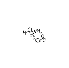 COC(=O)c1cccc(OCC(=O)N(N)c2cccc(C#N)c2)c1